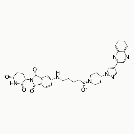 O=C1CCC(N2C(=O)c3ccc(NCCCC[S+]([O-])N4CCC(n5cc(-c6cnc7ccccc7n6)cn5)CC4)cc3C2=O)C(=O)N1